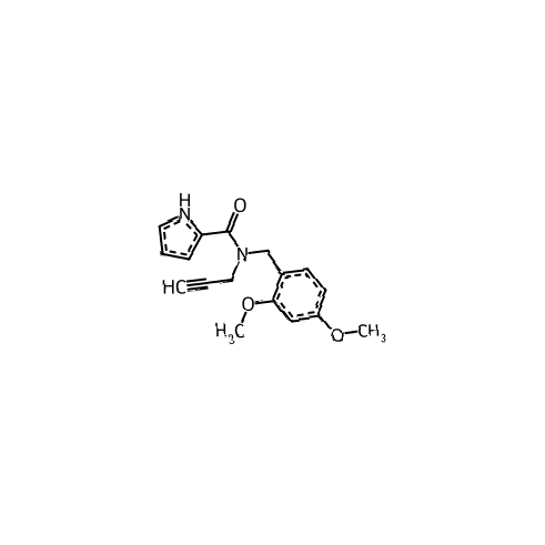 C#CCN(Cc1ccc(OC)cc1OC)C(=O)c1ccc[nH]1